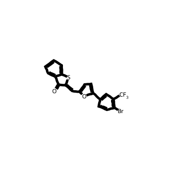 O=C1C(=Cc2ccc(-c3ccc(Br)c(C(F)(F)F)c3)o2)Sc2ccccc21